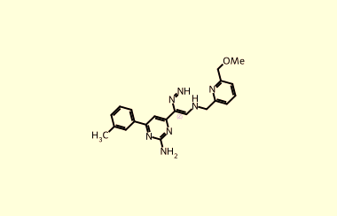 COCc1cccc(CN/C=C(\N=N)c2cc(-c3cccc(C)c3)nc(N)n2)n1